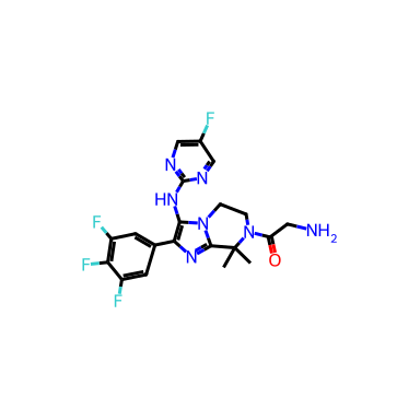 CC1(C)c2nc(-c3cc(F)c(F)c(F)c3)c(Nc3ncc(F)cn3)n2CCN1C(=O)CN